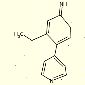 CCC1=CC(=N)CC=C1c1ccncc1